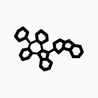 c1ccc(N2c3ccccc3-c3c(n(-c4ccc5oc6ccccc6c5c4)c4ccccc34)-c3ccccc32)cc1